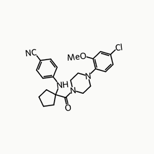 COc1cc(Cl)ccc1N1CCN(C(=O)C2(Nc3ccc(C#N)cc3)CCCC2)CC1